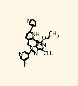 CCOc1nc(C)c2nc(-c3cncc(F)c3)n(CC3=C(C#N)NC(C4CN5CCC4CC5)C=C3)c2n1